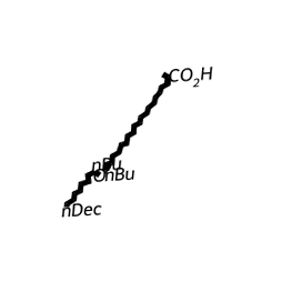 CCCCCCCCCCCCCCCCCC(CCCC)OC(CCCC)CCCCCCCCCCCCCCCCCC=C(C)C(=O)O